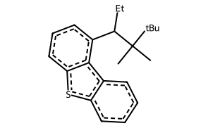 CCC(c1cccc2sc3ccccc3c12)C(C)(C)C(C)(C)C